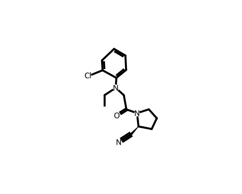 CCN(CC(=O)N1CCC[C@H]1C#N)c1ccccc1Cl